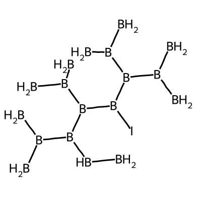 BBB(B(B)B)B(B(B)B)B(I)B(B(B)B)B(B)B